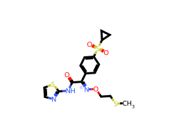 CSCCO/N=C(/C(=O)Nc1nccs1)c1ccc(S(=O)(=O)C2CC2)cc1